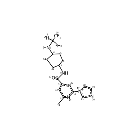 [2H]C([2H])(NC1CCC(NC(=O)c2cc(C)nc(-n3ccnc3)n2)CC1)C(F)(F)F